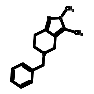 Cc1c2c(nn1C)CCN(Cc1ccccc1)C2